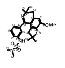 COc1cc2c(c3c1OC(C)(C)C3)C(c1cccc(NS(=O)(=O)N(C)C)c1)=NC(C)(C)C2